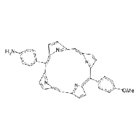 COc1ccc(C2=C3C=CC(=N3)C=C3C=CC(=N3)C(c3ccc(N)cc3)=C3C=CC(=N3)C=C3C=CC2=N3)cc1